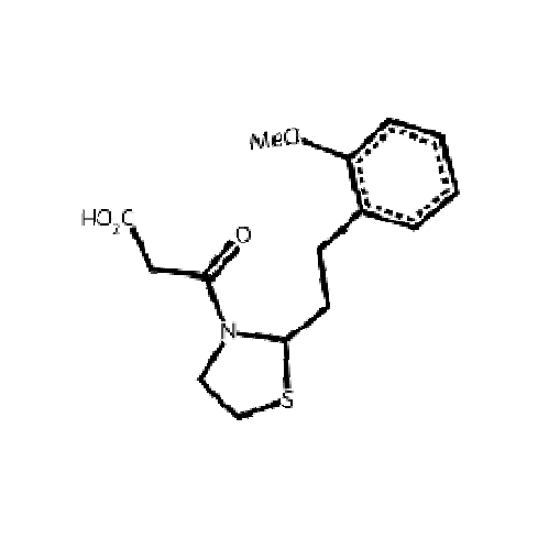 COc1ccccc1CCC1SCCN1C(=O)CC(=O)O